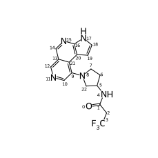 O=C(CC(F)(F)F)NC1CCN(c2cncc3cnc4[nH]ccc4c23)C1